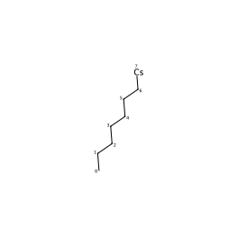 CCCCCC[CH2][Cs]